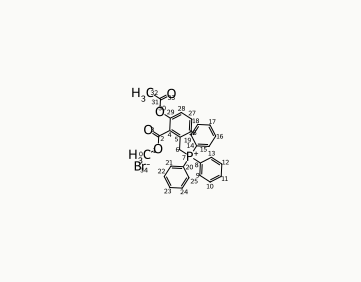 COC(=O)c1c(C[P+](c2ccccc2)(c2ccccc2)c2ccccc2)cccc1OC(C)=O.[Br-]